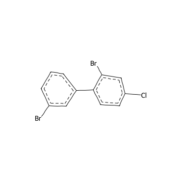 Clc1ccc(-c2cccc(Br)c2)c(Br)c1